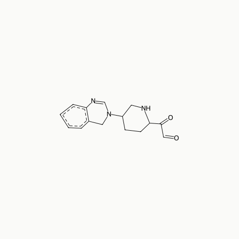 O=CC(=O)C1CCC(N2C=Nc3ccccc3C2)CN1